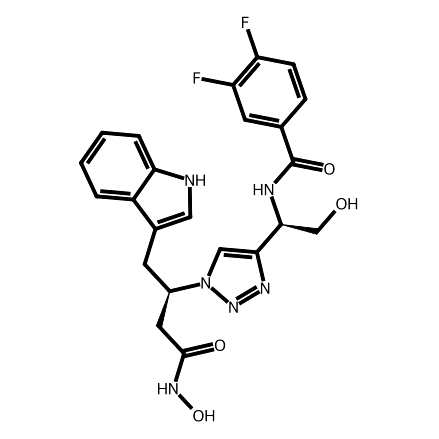 O=C(C[C@@H](Cc1c[nH]c2ccccc12)n1cc([C@H](CO)NC(=O)c2ccc(F)c(F)c2)nn1)NO